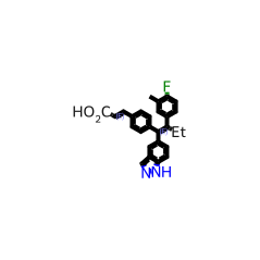 CC/C(=C(/c1ccc(/C=C/C(=O)O)cc1)c1ccc2[nH]ncc2c1)c1ccc(F)c(C)c1